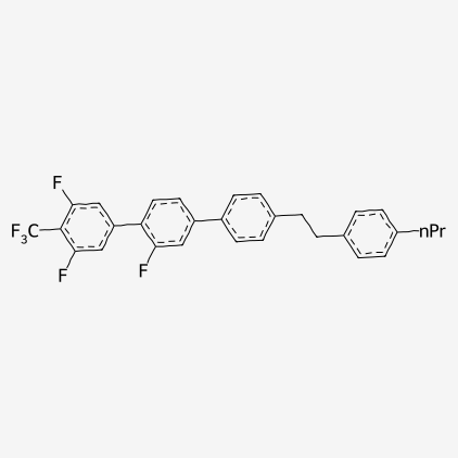 CCCc1ccc(CCc2ccc(-c3ccc(-c4cc(F)c(C(F)(F)F)c(F)c4)c(F)c3)cc2)cc1